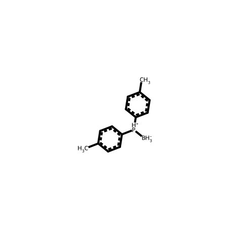 [BH3-][PH+](c1ccc(C)cc1)c1ccc(C)cc1